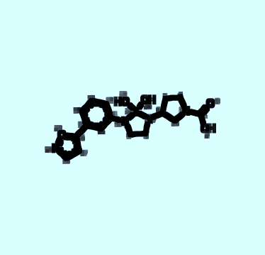 O=C(O)N1CCC(N2CCN(c3cccc(-c4ccno4)c3)S2(O)O)C1